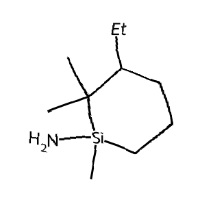 CCC1CCC[Si](C)(N)C1(C)C